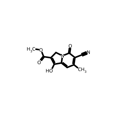 COC(=O)C1=C(O)c2cc(C)c(C#N)c(=O)n2C1